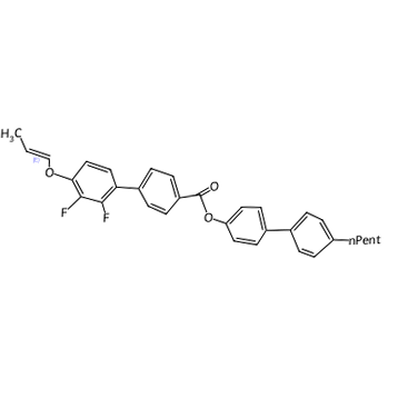 C/C=C/Oc1ccc(-c2ccc(C(=O)Oc3ccc(-c4ccc(CCCCC)cc4)cc3)cc2)c(F)c1F